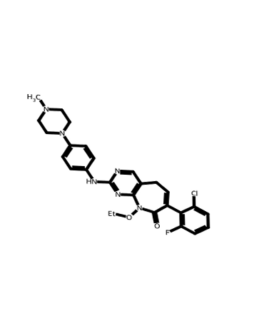 CCON1C(=O)C(c2c(F)cccc2Cl)=CCc2cnc(Nc3ccc(N4CCN(C)CC4)cc3)nc21